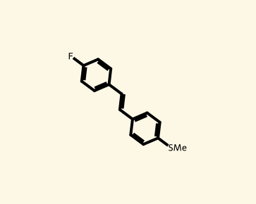 CSc1ccc(C=Cc2ccc(F)cc2)cc1